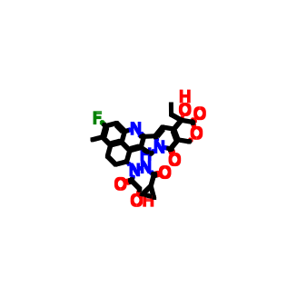 CC[C@@]1(O)C(=O)OCc2c1cc1n(c2=O)Cc2c-1nc1cc(F)c(C)c3c1c2[C@@H](N(NC(=O)C1CC1)C(=O)CO)CC3